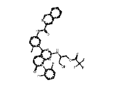 Cc1ccc(NC(=O)c2cc3ccccc3cn2)cc1-c1nc(NC(CO)COC(=O)C(F)(F)F)nc2c1ccc(=O)n2-c1c(F)cccc1F